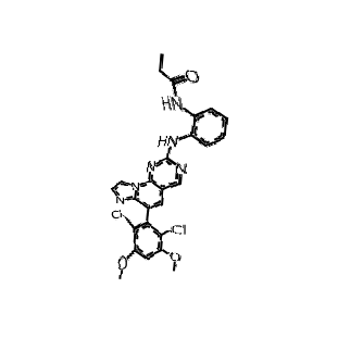 C=CC(=O)Nc1ccccc1Nc1ncc2cc(-c3c(Cl)c(OC)cc(OC)c3Cl)c3nccn3c2n1